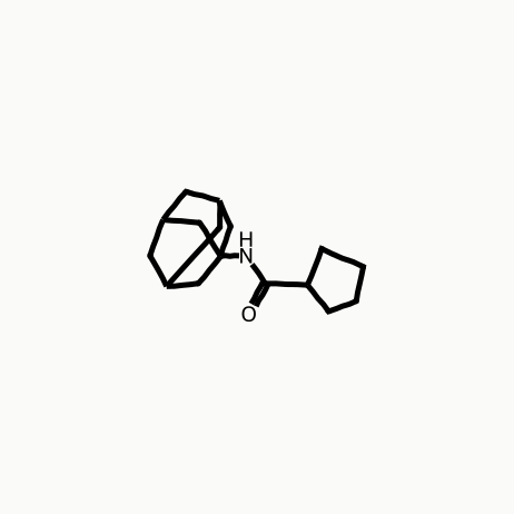 O=C(NC12CC3CC(CC(C3)C1)C2)C1CCCC1